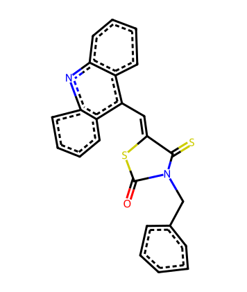 O=C1SC(=Cc2c3ccccc3nc3ccccc23)C(=S)N1Cc1ccccc1